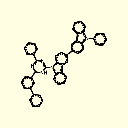 c1ccc(C2=NC(c3cccc(-c4ccccc4)c3)NC(n3c4ccccc4c4cc(-c5ccc6c(c5)c5ccccc5n6-c5ccccc5)ccc43)=N2)cc1